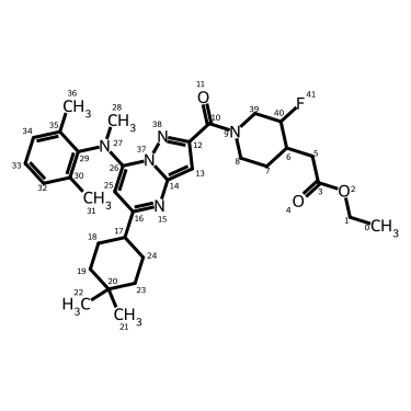 CCOC(=O)CC1CCN(C(=O)c2cc3nc(C4CCC(C)(C)CC4)cc(N(C)c4c(C)cccc4C)n3n2)CC1F